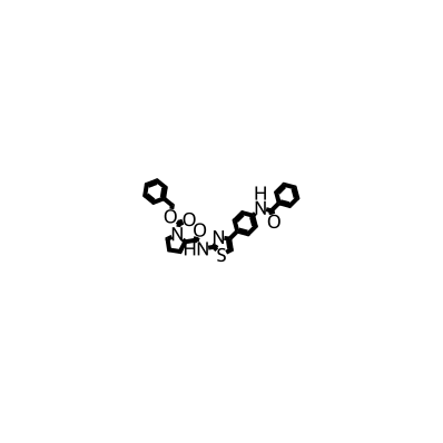 O=C(Nc1ccc(-c2csc(NC(=O)C3CCCN3C(=O)OCc3ccccc3)n2)cc1)c1ccccc1